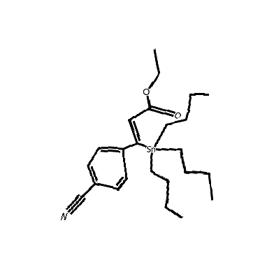 CCC[CH2][Sn]([CH2]CCC)([CH2]CCC)/[C](=C\C(=O)OCC)c1ccc(C#N)cc1